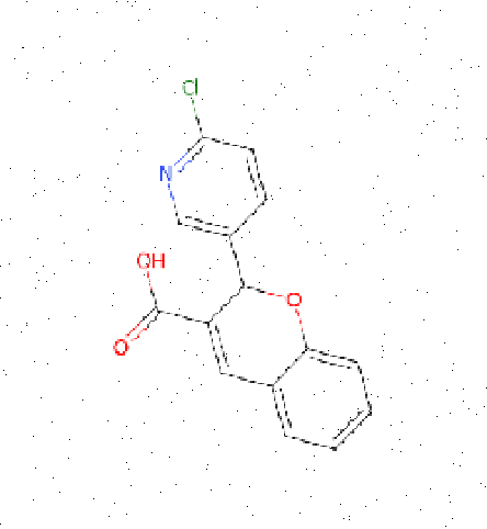 O=C(O)C1=Cc2ccccc2OC1c1ccc(Cl)nc1